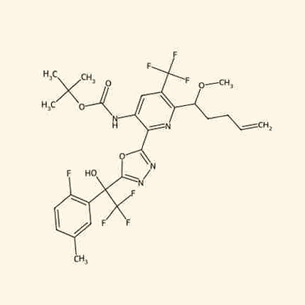 C=CCCC(OC)c1nc(-c2nnc(C(O)(c3cc(C)ccc3F)C(F)(F)F)o2)c(NC(=O)OC(C)(C)C)cc1C(F)(F)F